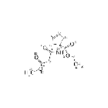 CCOC(=O)C1(NC(=O)CC(=O)OC)CC=CC1